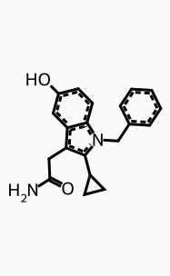 NC(=O)Cc1c(C2CC2)n(Cc2ccccc2)c2ccc(O)cc12